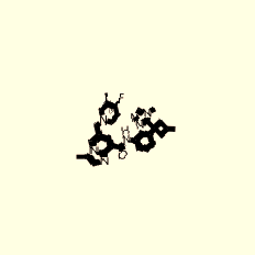 Cc1cnc2c(C(=O)Nc3cccc(C4(c5nncn5C)CC(C)C4)c3)cc(CN3CC[C@H](F)[C@H](C)C3)cn12